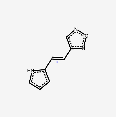 C(=C\c1ccc[nH]1)/c1cnon1